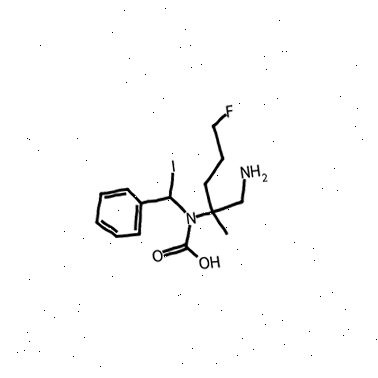 CC(CN)(CCCF)N(C(=O)O)C(I)c1ccccc1